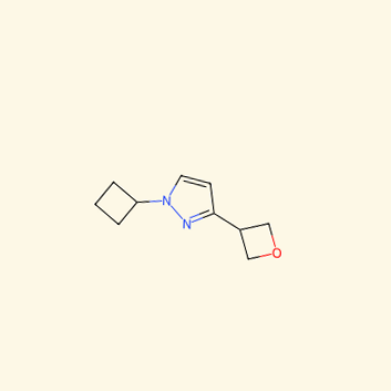 c1cn(C2CCC2)nc1C1COC1